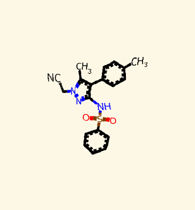 Cc1ccc(-c2c(NS(=O)(=O)c3ccccc3)nn(CC#N)c2C)cc1